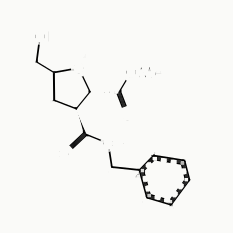 COC(=O)[C@H]1OC(CO)C[C@@H]1C(=O)OCc1ccccc1